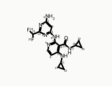 Nc1cc(Nc2nccc(NC3CC3)c2C(=O)NC2CC2)nc(C(F)F)n1